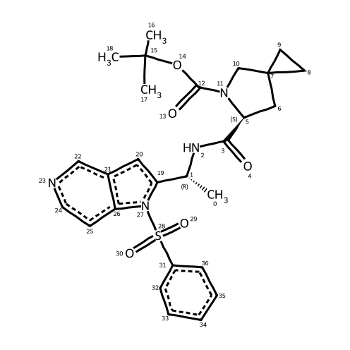 C[C@@H](NC(=O)[C@@H]1CC2(CC2)CN1C(=O)OC(C)(C)C)c1cc2cnccc2n1S(=O)(=O)c1ccccc1